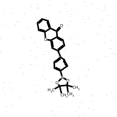 CC1(C)OB(c2ccc(-c3ccc4c(=O)c5ccccc5oc4c3)cc2)OC1(C)C